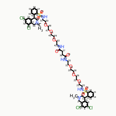 CN1Cc2c(Cl)cc(Cl)cc2C(c2ccccc2S(=O)(=O)NCCOCCOCCOCCNC(=O)CCC(=O)NCCOCCOCCOCCNS(=O)(=O)c2ccccc2C2CN(C)Cc3c(Cl)cc(Cl)cc32)C1